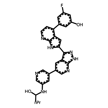 CCCC(O)Nc1cncc(-c2cnc3[nH]nc(-c4cc5c(-c6cc(O)cc(F)c6)ccnc5[nH]4)c3c2)c1